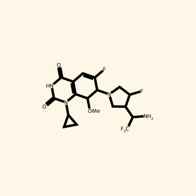 COC1c2c(c(=O)[nH]c(=O)n2C2CC2)C=C(F)C1N1CC(F)C(C(N)C(F)(F)F)C1